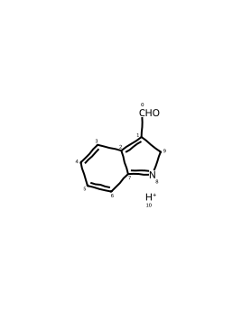 O=CC1=c2ccccc2=NC1.[H+]